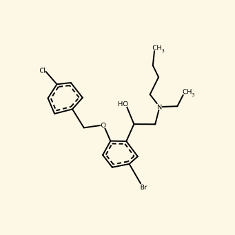 CCCCN(CC)CC(O)c1cc(Br)ccc1OCc1ccc(Cl)cc1